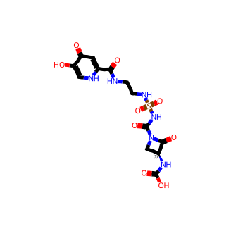 O=C(O)N[C@H]1CN(C(=O)NS(=O)(=O)NCCNC(=O)c2cc(=O)c(O)c[nH]2)C1=O